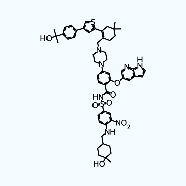 CC1(C)CCC(CN2CCN(c3ccc(C(=O)NS(=O)(=O)c4ccc(NCC5CCC(C)(O)CC5)c([N+](=O)[O-])c4)c(Oc4cnc5[nH]ccc5c4)c3)CC2)=C(c2cc(-c3ccc(C(C)(C)O)cc3)cs2)C1